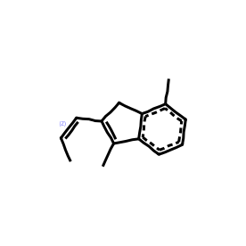 C/C=C\C1=C(C)c2cccc(C)c2C1